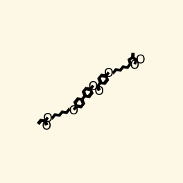 C=CC(=O)OCCCCCCOc1ccc(-c2ccc(OC(=O)c3ccc(OCCCCCC4CC(=C)C(=O)O4)cc3)cc2)cc1